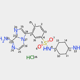 Cc1ccc(S(=O)(=O)NC2CCC(N)CC2)cc1-c1cnc2c(N)nccn12.Cl